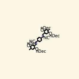 [C-]#[N+]/C(=C\c1cc(OCCCCCCCCCC)c(C)cc1OCCCCCCCCCC)c1ccc(/C(C#N)=C/c2cc(OCCCCCCCCCC)c(C)cc2OCCCCCCCCCC)cc1